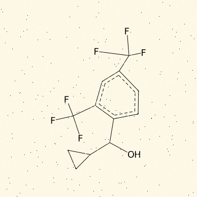 OC(c1ccc(C(F)(F)F)cc1C(F)(F)F)C1CC1